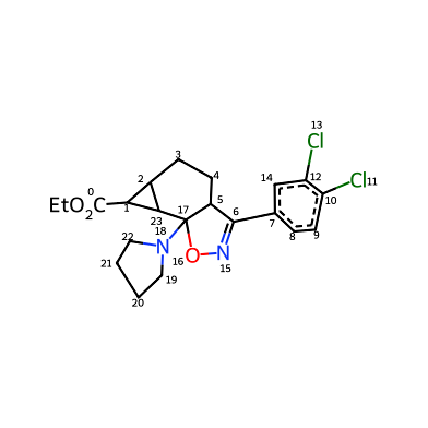 CCOC(=O)C1C2CCC3C(c4ccc(Cl)c(Cl)c4)=NOC3(N3CCCC3)C21